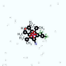 Cc1cc(C)cc(-c2ccc3c(c2)c2cc(-c4cc(C)cc(C)c4)ccc2n3-c2ccc(C#N)cc2-c2cc(-c3ccc(C(F)(F)F)cc3C(F)(F)F)ccc2-n2c3ccc(-c4cc(C)cc(C)c4)cc3c3cc(-c4cc(C)cc(C)c4)ccc32)c1